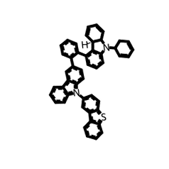 C1=CCC(N2c3cccc(-c4ccccc4-c4ccc5c(c4)c4ccccc4n5-c4ccc5sc6ccccc6c5c4)c3[C@H]3C=CC=CC32)C=C1